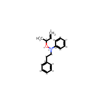 C=CC(C)ON(CCc1ccccc1)c1ccccc1